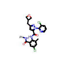 Cc1cc(Cl)cc(C(=O)NC(C)C)c1NC(=O)c1cc(CC2COC2)nn1-c1ncccc1Cl